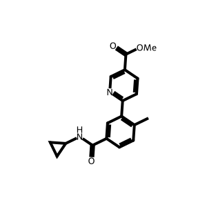 COC(=O)c1ccc(-c2cc(C(=O)NC3CC3)ccc2C)nc1